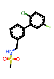 CS(=O)(=O)NCc1cccc(-c2cc(F)ccc2Cl)c1